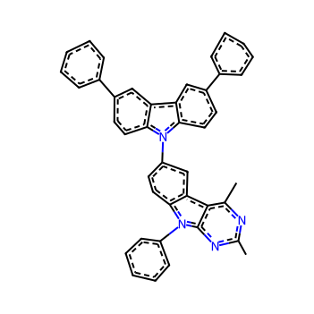 Cc1nc(C)c2c3cc(-n4c5ccc(-c6ccccc6)cc5c5cc(-c6ccccc6)ccc54)ccc3n(-c3ccccc3)c2n1